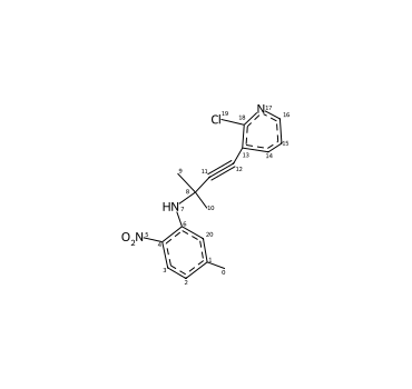 Cc1ccc([N+](=O)[O-])c(NC(C)(C)C#Cc2cccnc2Cl)c1